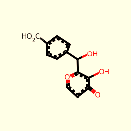 O=C(O)c1ccc(C(O)c2occc(=O)c2O)cc1